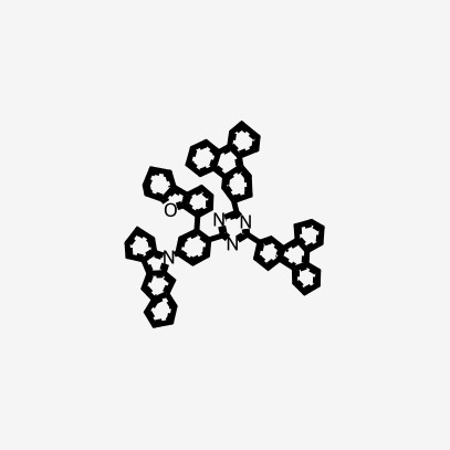 c1ccc2cc3c(cc2c1)c1ccccc1n3-c1ccc(-c2nc(-c3ccc4c5ccccc5c5ccccc5c4c3)nc(-c3ccc4c5ccccc5c5ccccc5c4c3)n2)c(-c2cccc3c2oc2ccccc23)c1